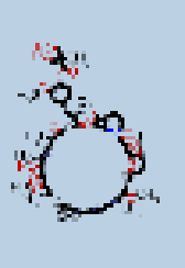 CO[C@H]1C[C@@H]2CC[C@@H](C)[C@@](O)(O2)C(=O)C(=O)N2CCCC[C@H]2C(=O)O[C@H]([C@@H](C)C[C@@H]2CC[C@@H](OC(=O)C(C)(CO)CO)[C@H](OC)C2)CC(=O)[C@H](C)/C=C(\C)[C@@H](O)[C@@H](OC)C(=O)[C@H](C)C[C@H](C)/C=C/C=C/C=C/1C